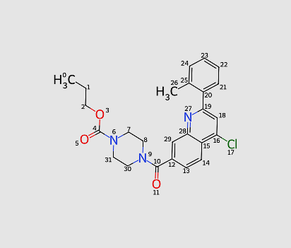 CCCOC(=O)N1CCN(C(=O)c2ccc3c(Cl)cc(-c4ccccc4C)nc3c2)CC1